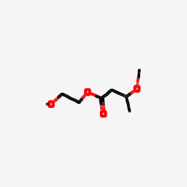 COC(C)CC(=O)OCC[O]